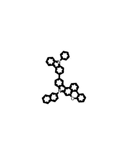 c1ccc(-n2c3ccccc3c3cc(-c4ccc5c(c4)c4c6cccc7c6c(cc4n5-c4ccc5ccccc5c4)Oc4ccccc4-7)ccc32)cc1